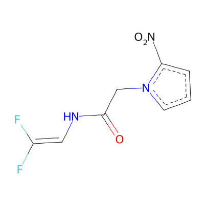 O=C(Cn1cccc1[N+](=O)[O-])NC=C(F)F